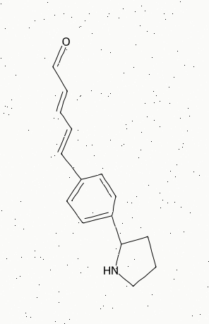 O=CC=CC=Cc1ccc(C2CCCN2)cc1